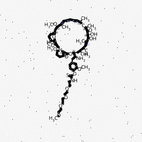 COCCOCCOCCOCCNC(=S)O[C@@H]1CC[C@@H](C[C@@H](N)[C@@H]2C[C@@H](O)[C@H](C)/C=C(\C)[C@@H](O)[C@@H](O)C(=O)[C@H](C)C[C@H](C)/C=C/C=C/C=C(\C)[C@@H](OC)C[C@@H]3CC[C@@H](C)[C@@](O)(O3)C(=O)C(=O)N3CCCC[C@H]3C(=O)O2)C[C@H]1OC